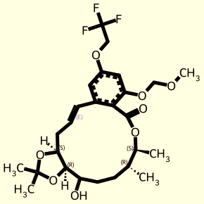 COCOc1cc(OCC(F)(F)F)cc2c1C(=O)O[C@@H](C)[C@H](C)CCC(O)[C@H]1OC(C)(C)O[C@H]1C/C=C/2